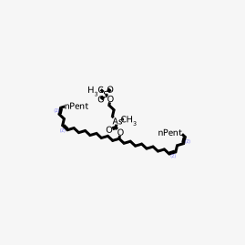 CCCCC/C=C\C/C=C\CCCCCCCCC(CCCCCCCC/C=C\C/C=C\CCCCC)OC(=O)[As](C)CCCOS(C)(=O)=O